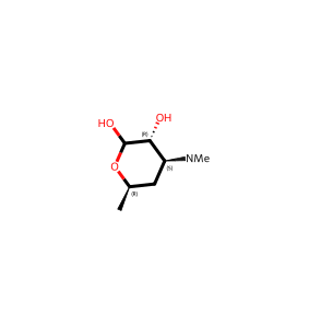 CN[C@H]1C[C@@H](C)OC(O)[C@@H]1O